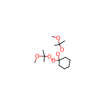 COC(C)(C)OOC1(OOC(C)(C)OC)CCCCC1